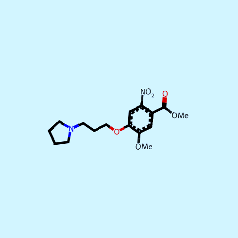 COC(=O)c1cc(OC)c(OCCCN2CCCC2)cc1[N+](=O)[O-]